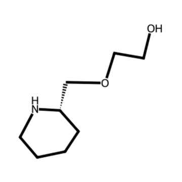 OCCOC[C@@H]1CCCCN1